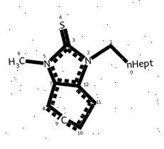 CCCCCCCCn1c(=S)n(C)c2ccccc21